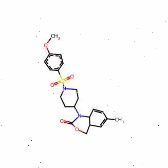 COc1ccc(S(=O)(=O)N2CCC(N3C(=O)OCC4C=C(C)C=CC43)CC2)cc1